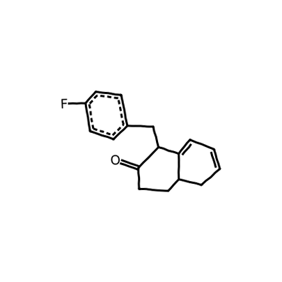 O=C1CCC2CC=CC=C2C1Cc1ccc(F)cc1